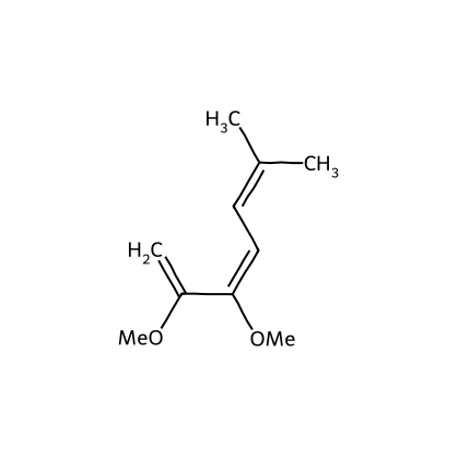 C=C(OC)/C(=C\C=C(C)C)OC